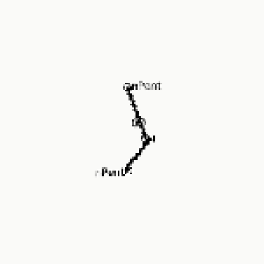 CCCCCC1OC1CC=CCCCCCCCC(=O)OCCCCOC(=O)CCCCCCCC=CCC1OC1CCCCC